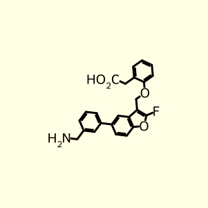 NCc1cccc(-c2ccc3oc(F)c(COc4ccccc4CC(=O)O)c3c2)c1